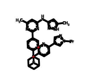 Cc1cc(Nc2cc(C)[nH]n2)nc(-c2ccc(N3CC4CC(C3)N4Cc3ccc(-c4cnn(C(C)C)c4)nc3)nc2)n1